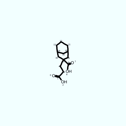 O=C(O)CCC1(C(=O)O)CC2CCCC(C2)C1